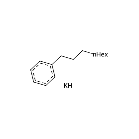 CCCCCCCCCc1ccccc1.[KH]